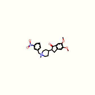 COc1cc2c(cc1OC)C(=O)C(C1CC[N+](C)(Cc3cccc([N+](=O)[O-])c3)CC1)C2